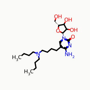 CCCCN(CCCC)CCCCc1cn([C@@H]2O[C@H](CO)C(O)C2O)c(=O)nc1N